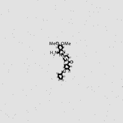 COc1cc2nc(N3CCN(C(=O)c4ccc(OCc5ccccc5)c(C)c4)CC3)nc(N)c2cc1OC